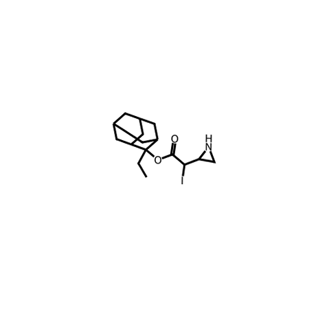 CCC1(OC(=O)C(I)C2CN2)C2CC3CC(C2)CC1C3